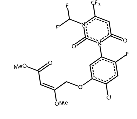 COC(=O)/C=C(\COc1cc(-n2c(=O)cc(C(F)(F)F)n(C(F)F)c2=O)c(F)cc1Cl)OC